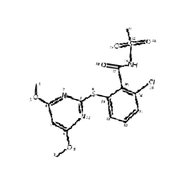 COc1cc(OC)nc(Sc2cccc(Cl)c2C(=O)NS(C)(=O)=O)n1